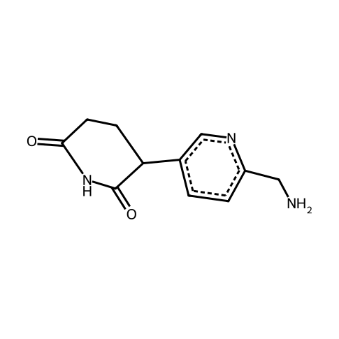 NCc1ccc(C2CCC(=O)NC2=O)cn1